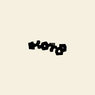 O=C(CN1CCCc2ccccc21)Nc1ccc(OC(=O)c2nccs2)cc1